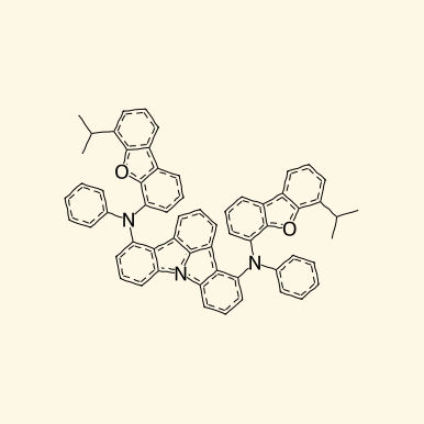 CC(C)c1cccc2c1oc1c(N(c3ccccc3)c3cccc4c3c3cccc5c6c(N(c7ccccc7)c7cccc8c7oc7c(C(C)C)cccc78)cccc6n4c35)cccc12